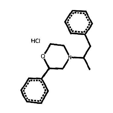 CC(Cc1ccccc1)N1CCOC(c2ccccc2)C1.Cl